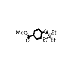 CC[Si](CC)(CC)OC1CCC(C(=O)OC)CC1